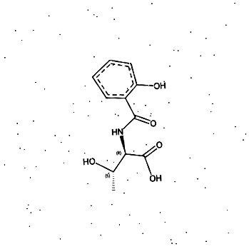 C[C@H](O)[C@@H](NC(=O)c1ccccc1O)C(=O)O